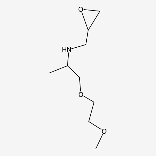 COCCOCC(C)NCC1CO1